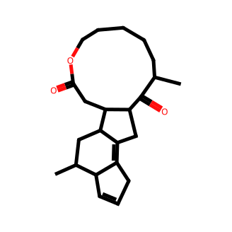 CC1CCCCCOC(=O)CC2C(CC3=C4CC=CC4C(C)CC32)C1=O